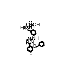 C[SH](O)(Cc1cccc(Nc2ncnc(-c3ccc(F)cc3OCc3ccccc3)n2)c1)=NC(=O)O